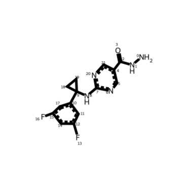 NNC(=O)c1cnc(NC2(c3cc(F)cc(F)c3)CC2)nc1